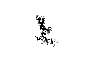 C[C@H](COc1ccc(-c2ccnc(CF)c2)nc1C(F)F)CC(C)(C)N